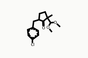 COC(OC)C1(C)CCC(Cc2ccc(Cl)cc2)C1=O